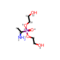 CC(N)P(=O)(OCCO)OCCO